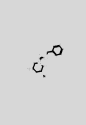 CO[C@@H]1C[C@H](N)CN(C(=O)OCc2ccccc2)C1